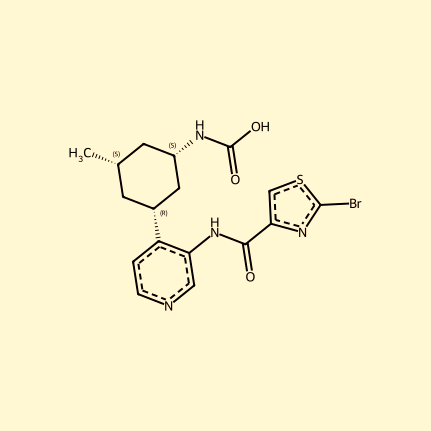 C[C@@H]1C[C@H](NC(=O)O)C[C@H](c2ccncc2NC(=O)c2csc(Br)n2)C1